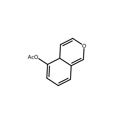 CC(=O)OC1=CC=CC2=COC=CC21